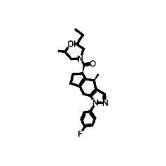 CCCCN(CC(C)O)C(=O)[C@@H]1CCC2=C1[C@@H](C)c1cnn(-c3ccc(F)cc3)c1C2